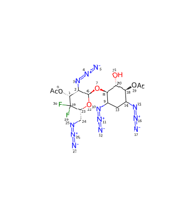 CC(=O)O[C@@H]1C(N=[N+]=[N-])[C@@H](O[C@@H]2C(N=[N+]=[N-])CC(N=[N+]=[N-])[C@H](OC(C)=O)[C@H]2O)O[C@H](CN=[N+]=[N-])C1(F)F